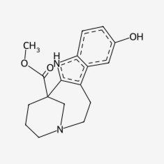 COC(=O)C12CCCN(CCc3c1[nH]c1ccc(O)cc31)C2